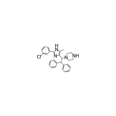 Cc1[nH]c(-c2cccc(Cl)c2)nc1C(C(c1ccccc1)c1ccccc1)N1CCNCC1